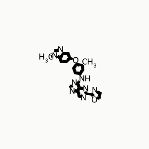 Cc1cc(Nc2ncnc3cnc(-c4ncco4)nc23)ccc1Oc1ccc2c(c1)ncn2C